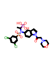 CC(N(c1ccc2c(ccn2C(=O)CN2CCOCC2)c1)S(=O)(=O)c1cc(Cl)cc(Cl)c1)P(=O)(O)O